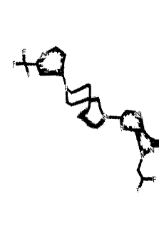 FC(F)Cn1nc(I)c2ncc(N3CCC4(CN(c5ccnc(C(F)(F)F)c5)C4)C3)nc21